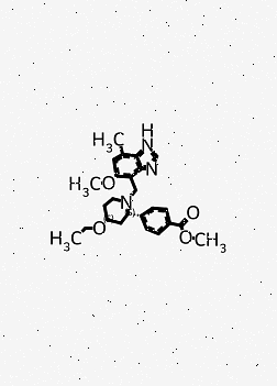 CCO[C@H]1CCN(Cc2c(OC)cc(C)c3[nH]cnc23)[C@H](c2ccc(C(=O)OC)cc2)C1